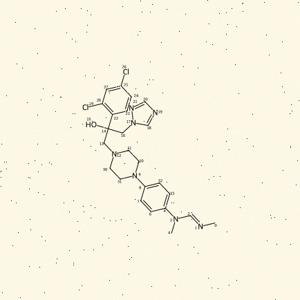 CN=CN(C)c1ccc(N2CCN(CC(O)(Cn3cncn3)c3ccc(Cl)cc3Cl)CC2)cc1